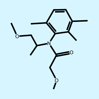 COCC(=O)N(c1c(C)ccc(C)c1C)C(C)COC